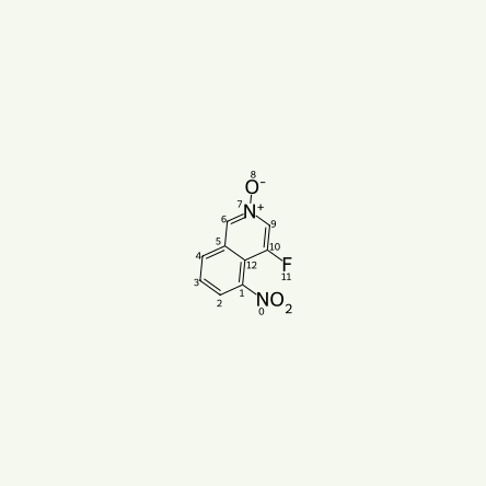 O=[N+]([O-])c1cccc2c[n+]([O-])cc(F)c12